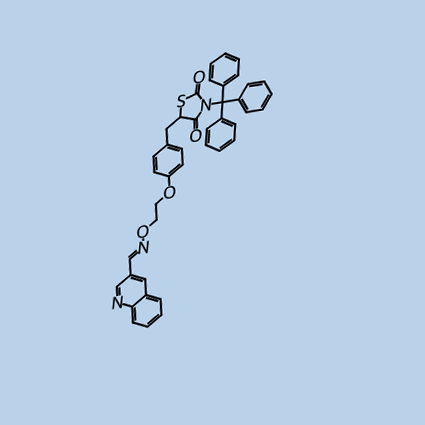 O=C1SC(Cc2ccc(OCCON=Cc3cnc4ccccc4c3)cc2)C(=O)N1C(c1ccccc1)(c1ccccc1)c1ccccc1